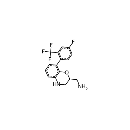 NC[C@H]1CNc2cccc(-c3ccc(F)cc3C(F)(F)F)c2O1